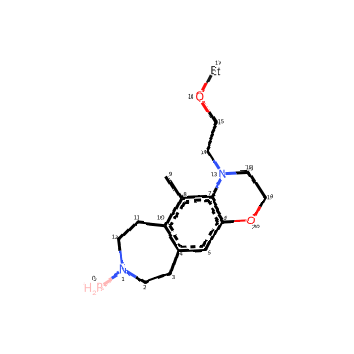 BN1CCc2cc3c(c(C)c2CC1)N(CCOCC)CCO3